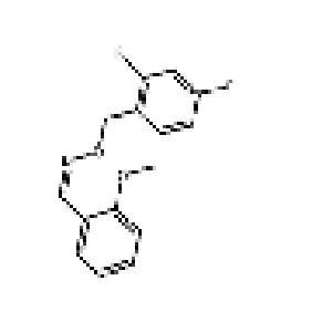 COc1ccccc1/[C]=N\OCc1ccc(F)cc1F